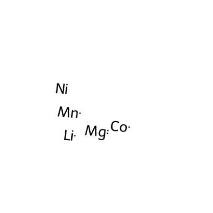 [Co].[Li].[Mg].[Mn].[Ni]